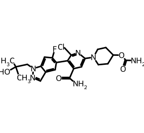 CC(C)(O)Cn1ncc2cc(-c3c(C(N)=O)cc(N4CCC(OC(N)=O)CC4)nc3Cl)c(F)cc21